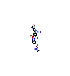 CC(C)NCCOc1ccc2c(c1)CN(C(=O)c1cc3c(CC4CCOCC4)n[nH]c3cc1O)C2